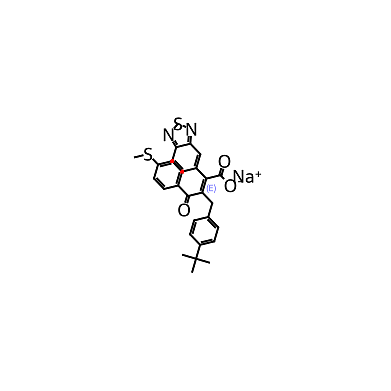 CSc1ccc(C(=O)/C(Cc2ccc(C(C)(C)C)cc2)=C(/C(=O)[O-])c2ccc3nsnc3c2)cc1.[Na+]